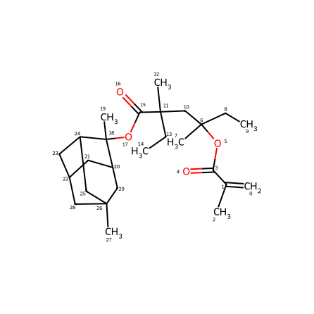 C=C(C)C(=O)OC(C)(CC)CC(C)(CC)C(=O)OC1(C)C2CC3CC1CC(C)(C3)C2